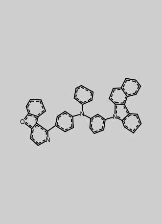 c1ccc(N(c2ccc(-c3nccc4oc5ccccc5c34)cc2)c2cccc(-n3c4ccccc4c4c5ccccc5ccc43)c2)cc1